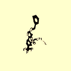 CCS(=O)(=O)c1cc(C(F)(F)F)ccc1-c1ccc(OCc2ccccc2)cn1